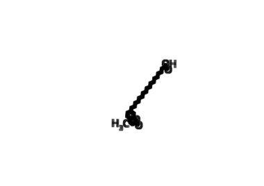 Cc1cc(=O)oc2cc(CCCCCCCCCCCCCCCCCC(=O)O)ccc12